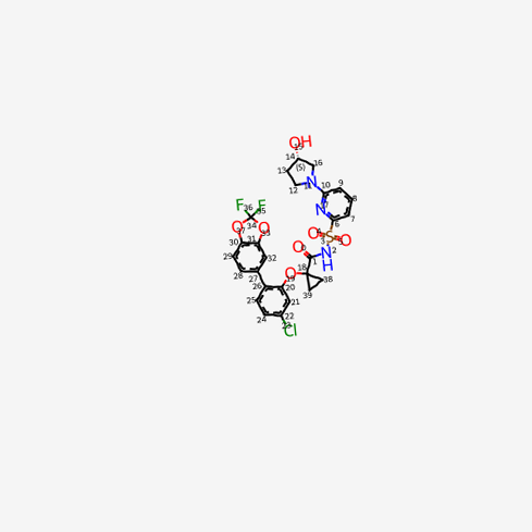 O=C(NS(=O)(=O)c1cccc(N2CC[C@H](O)C2)n1)C1(Oc2cc(Cl)ccc2-c2ccc3c(c2)OC(F)(F)O3)CC1